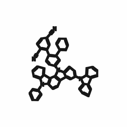 N#Cc1ccc(C#N)c(-c2ccc(-n3c4ccc(-n5c6ccccc6c6ccccc65)cc4c4ccc5c(c6ccccc6n5-c5ccccc5)c43)cc2-c2ccccc2)c1